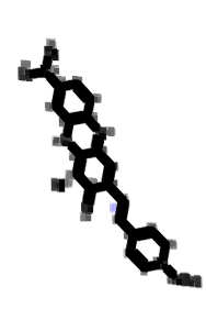 CCCCCCCCN1C=CC(/C=C/c2cc3nc4ccc(N(CC)CC)cc4oc-3cc2=O)=CC1.I